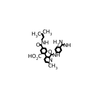 CC(C)=CCNC(=O)c1ccc(-c2ccc(C)nc2C(=O)Nc2ccc(C(=N)N)cc2)c(C(=O)O)c1